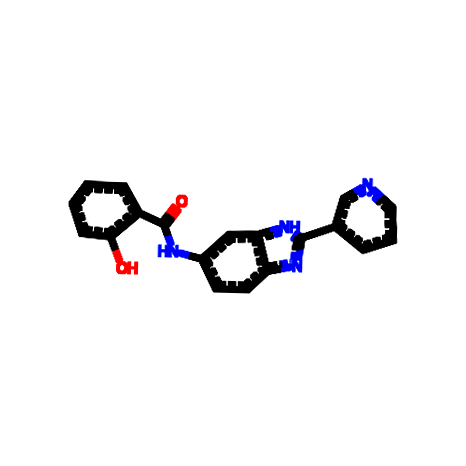 O=C(Nc1ccc2nc(-c3cccnc3)[nH]c2c1)c1ccccc1O